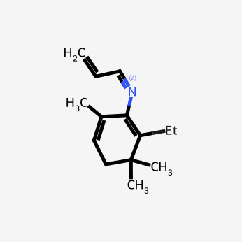 C=C/C=N\C1=C(CC)C(C)(C)CC=C1C